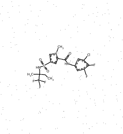 CCC(C)(NS(=O)(=O)c1cc(C(=O)Nc2cc(F)c(F)c(Cl)c2)n(C)c1)C(F)(F)F